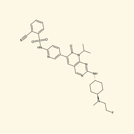 CC(C)n1c(=O)c(-c2ccc(NS(=O)(=O)c3ccccc3C#N)nc2)cc2cnc(N[C@H]3CC[C@H](N(C)CCF)CC3)nc21